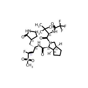 CC(C)(C)[C@@H](NC(=O)C(F)(F)F)C(=O)N1C[C@H]2CCC[C@H]2[C@H]1C(=O)N[C@H](/C=C(\F)S(C)(=O)=O)C[C@@H]1CCNC1=O